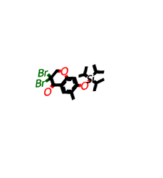 Cc1cc2c(cc1O[Si](C(C)C)(C(C)C)C(C)C)OCC(Br)(Br)C2=O